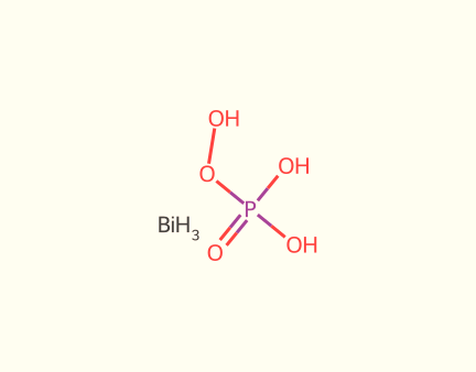 O=P(O)(O)OO.[BiH3]